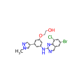 Cn1cc(-c2cc(Nc3ncc4cc(Br)cc(Cl)c4n3)cc(OCCO)c2)cn1